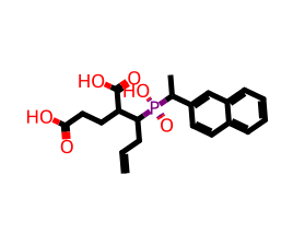 C=CCC(C(CCC(=O)O)C(=O)O)P(=O)(O)C(C)c1ccc2ccccc2c1